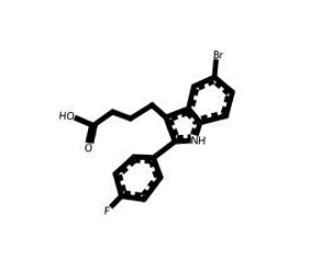 O=C(O)CCCc1c(-c2ccc(F)cc2)[nH]c2ccc(Br)cc12